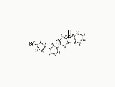 Brc1ccc(-c2cccc(-c3ccc(Nc4ccccc4)cc3)c2)cc1